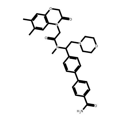 Cc1cc2c(cc1C)N(CC(=O)N(C)C(CN1CCOCC1)c1ccc(-c3ccc(C(N)=O)cc3)cc1)C(=O)CO2